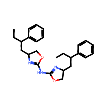 CCC(CC1COC(NC2=NC(CC(CC)c3ccccc3)CO2)=N1)c1ccccc1